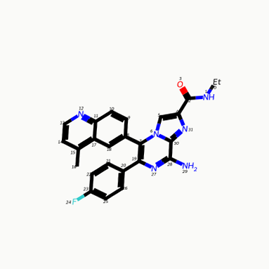 CCNC(=O)c1cn2c(-c3ccc4nccc(C)c4c3)c(-c3ccc(F)cc3)nc(N)c2n1